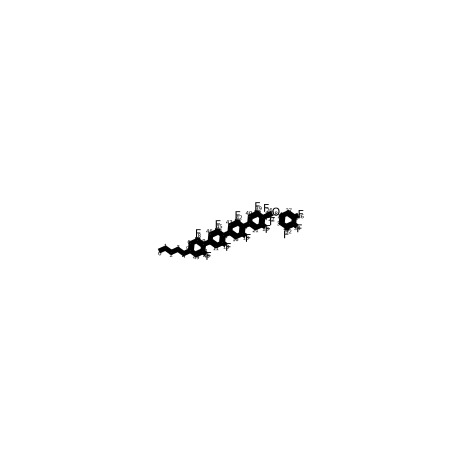 CCCCCc1cc(F)c(-c2cc(F)c(-c3cc(F)c(-c4cc(F)c(C(F)(F)Oc5cc(F)c(F)c(F)c5)c(F)c4)c(F)c3)c(F)c2)c(F)c1